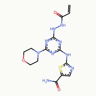 C=CC(=O)NNc1nc(Nc2ncc(C(N)=O)s2)nc(N2CCOCC2)n1